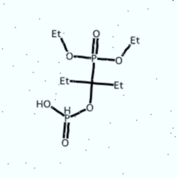 CCOP(=O)(OCC)C(CC)(CC)O[PH](=O)O